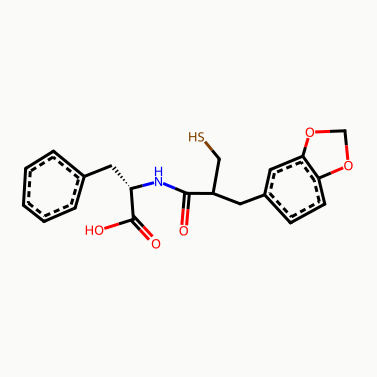 O=C(N[C@@H](Cc1ccccc1)C(=O)O)C(CS)Cc1ccc2c(c1)OCO2